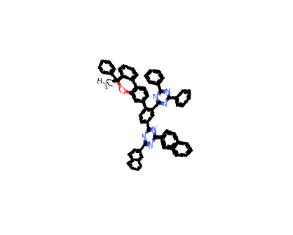 CC1(c2ccccc2)Oc2cc(-c3ccc(-c4nc(-c5ccc6ccccc6c5)nc(-c5ccc6ccccc6c5)n4)cc3-c3nc(-c4ccccc4)nc(-c4ccccc4)n3)ccc2-c2ccccc21